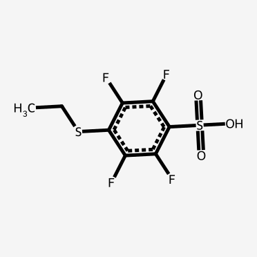 CCSc1c(F)c(F)c(S(=O)(=O)O)c(F)c1F